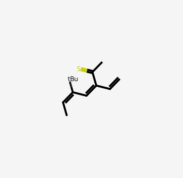 C=C/C(=C/C(=C\C)C(C)(C)C)C(C)=S